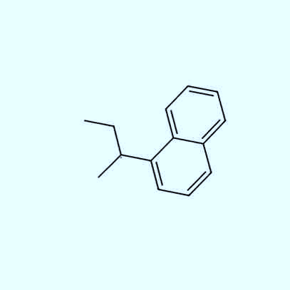 CC[C](C)c1cccc2ccccc12